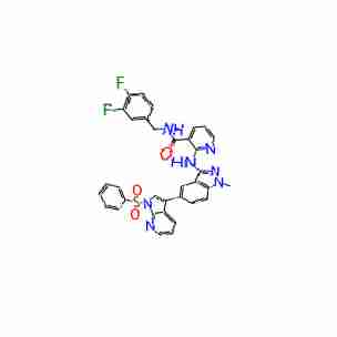 Cn1nc(Nc2ncccc2C(=O)NCc2ccc(F)c(F)c2)c2cc(-c3cn(S(=O)(=O)c4ccccc4)c4ncccc34)ccc21